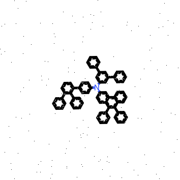 c1ccc(-c2cc(-c3ccccc3)cc(N(c3ccc(-c4cccc(-c5ccccc5)c4-c4ccccc4)cc3)c3ccc4c(-c5ccccc5)c(-c5ccccc5)c5ccccc5c4c3)c2)cc1